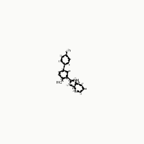 CC(C)c1ccc(-c2ccc(O)c(-c3nc4ncccc4[nH]3)c2)cc1